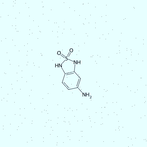 Nc1ccc2c(c1)NS(=O)(=O)N2